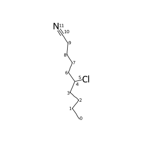 CCCCC(Cl)CCCCC#N